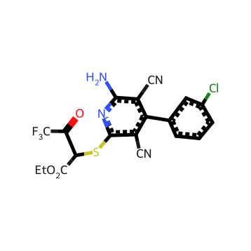 CCOC(=O)C(Sc1nc(N)c(C#N)c(-c2cccc(Cl)c2)c1C#N)C(=O)C(F)(F)F